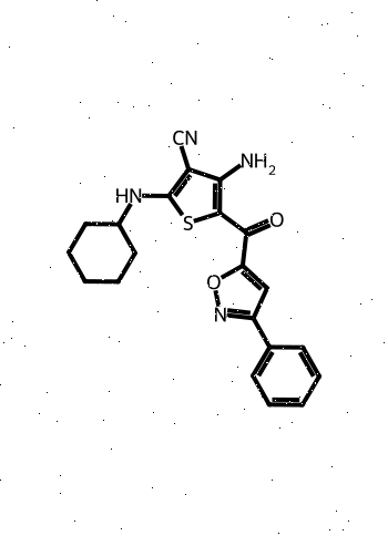 N#Cc1c(NC2CCCCC2)sc(C(=O)c2cc(-c3ccccc3)no2)c1N